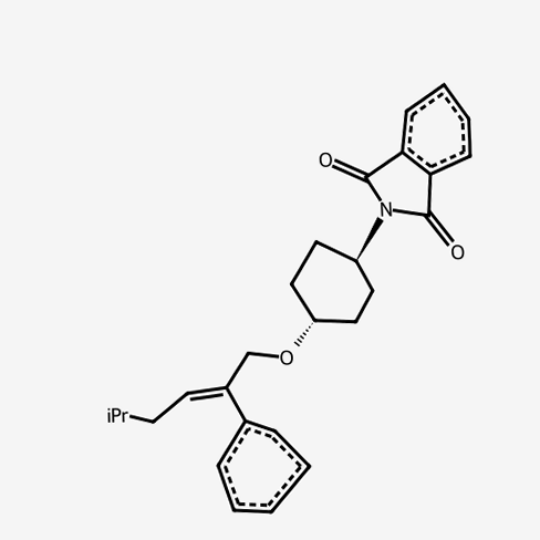 CC(C)CC=C(CO[C@H]1CC[C@H](N2C(=O)c3ccccc3C2=O)CC1)c1ccccc1